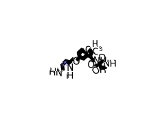 Cc1oc2ccc(OCC(=N)/C=C\C=N)cc2c1C(=O)NC1(CO)CCNC1=O